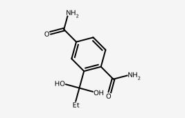 CCC(O)(O)c1cc(C(N)=O)ccc1C(N)=O